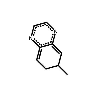 CC1C=c2nccnc2=CC1